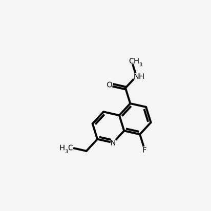 CCc1ccc2c(C(=O)NC)ccc(F)c2n1